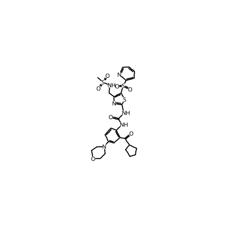 CS(=O)(=O)NCc1nc(NC(=O)Nc2ccc(N3CCOCC3)cc2C(=O)C2CCCC2)sc1S(=O)(=O)c1ccccn1